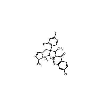 CC1N=CN(CC(c2ccc(F)cc2F)(C(C)C)C(C)n2cnc3cc(Cl)ccc3c2=O)N1